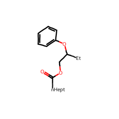 CCCCCCCC(=O)OCC(CC)Oc1ccccc1